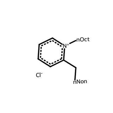 CCCCCCCCCCc1cccc[n+]1CCCCCCCC.[Cl-]